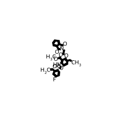 C=Cc1cc(F)ccc1S(=O)(=O)Nc1ccc(CC)c(OCCN2C(=O)c3ccccc3C2=O)c1C(=O)OC